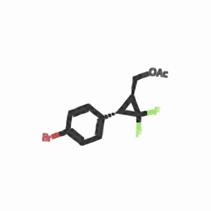 CC(=O)OC[C@@H]1[C@@H](c2ccc(Br)cc2)C1(F)F